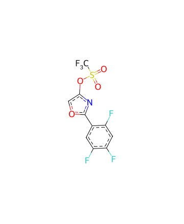 O=S(=O)(Oc1coc(-c2cc(F)c(F)cc2F)n1)C(F)(F)F